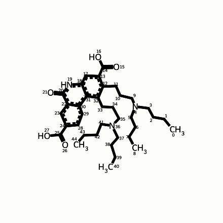 CCCCN(CCCC)CCCc1c(C(=O)O)cc2[nH]c(=O)c3cc(C(=O)O)ccc3c2c1CCCN(CCCC)CCCC